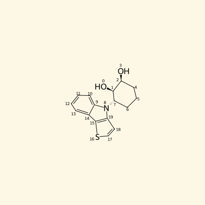 O[C@H]1[C@@H](O)CCC[C@@H]1n1c2ccccc2c2sccc21